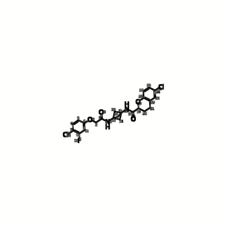 O=C(COc1ccc(Cl)c(F)c1)NC12CC(NC(=O)C3CCc4cc(Cl)ccc4O3)(C1)C2